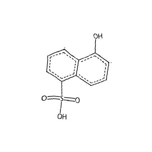 O=S(=O)(O)c1cc[c]c2c(O)[c]ccc12